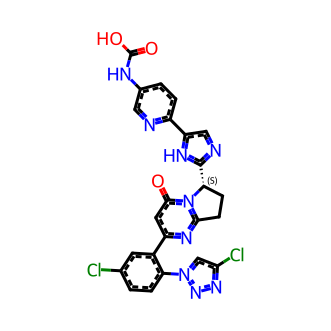 O=C(O)Nc1ccc(-c2cnc([C@@H]3CCc4nc(-c5cc(Cl)ccc5-n5cc(Cl)nn5)cc(=O)n43)[nH]2)nc1